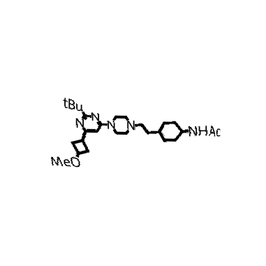 COC1CC(c2cc(N3CCN(CCC4CCC(NC(C)=O)CC4)CC3)nc(C(C)(C)C)n2)C1